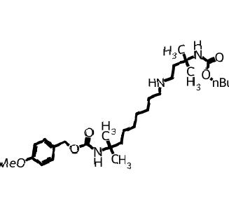 CCCCOC(=O)NC(C)(C)CCNCCCCCCCC(C)(C)NC(=O)OCc1ccc(OC)cc1